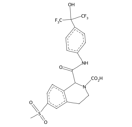 CS(=O)(=O)c1ccc2c(c1)CCN(C(=O)O)C2C(=O)Nc1ccc(C(O)(C(F)(F)F)C(F)(F)F)cc1